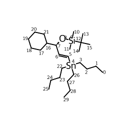 CCC[CH2][Sn](/[CH]=C/[C@H](O[Si](C)(C)C(C)(C)C)C1CCCCC1)([CH2]CCC)[CH2]CCC